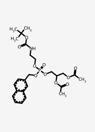 CC(=O)OCC(COP(=O)(OCCNC(=O)OC(C)(C)C)OCc1ccc2ccccc2c1)OC(C)=O